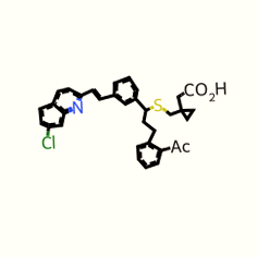 CC(=O)c1ccccc1CCC(SCC1(CC(=O)O)CC1)c1cccc(C=Cc2ccc3ccc(Cl)cc3n2)c1